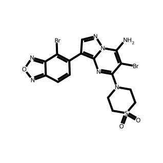 Nc1c(Br)c(N2CCS(=O)(=O)CC2)nc2c(-c3ccc4nonc4c3Br)cnn12